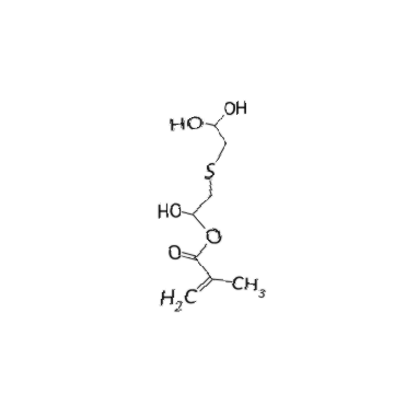 C=C(C)C(=O)OC(O)CSCC(O)O